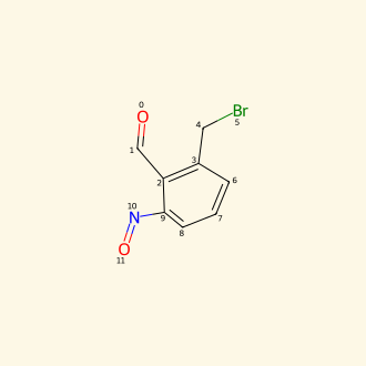 O=Cc1c(CBr)cccc1N=O